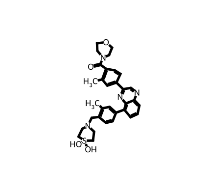 Cc1cc(-c2cccc3ncc(-c4ccc(C(=O)N5CCOCC5)c(C)c4)nc23)ccc1CN1CCS(O)(O)CC1